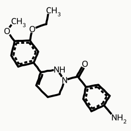 CCOc1cc(C2=CCCN(C(=O)c3ccc(N)cc3)N2)ccc1OC